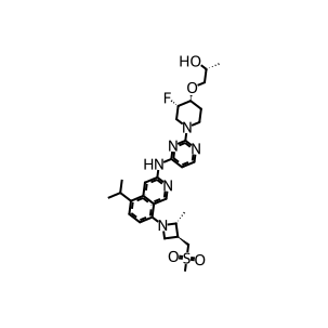 CC(C)c1ccc(N2C[C@H](CS(C)(=O)=O)[C@H]2C)c2cnc(Nc3ccnc(N4CC[C@@H](OC[C@@H](C)O)[C@@H](F)C4)n3)cc12